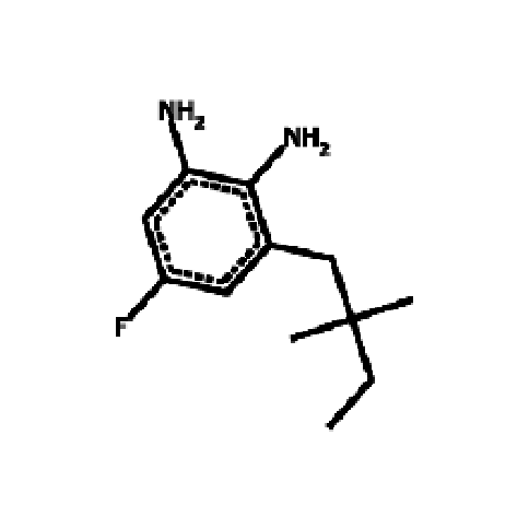 CCC(C)(C)Cc1cc(F)cc(N)c1N